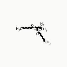 CCCCCCCC(=O)OCC(COC(=O)CCCCCCC)CC(C)(C)C